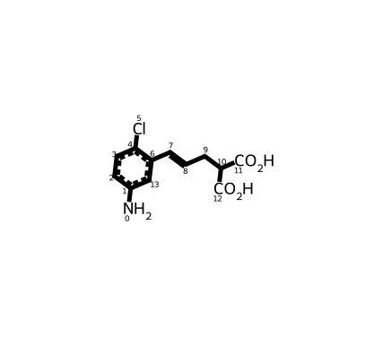 Nc1ccc(Cl)c(C=CCC(C(=O)O)C(=O)O)c1